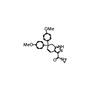 COc1ccc(C2(c3ccc(OC)cc3)C=Cc3c(C(=O)N4CC4)n[nH]c3C2)cc1